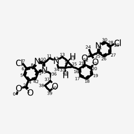 COC(=O)c1cc(Cl)c2nc(CN3C[C@@H]4C(c5cccc6c5OC(C)(c5ccc(Cl)cn5)O6)[C@@H]4C3)n(C[C@@H]3CCO3)c2c1